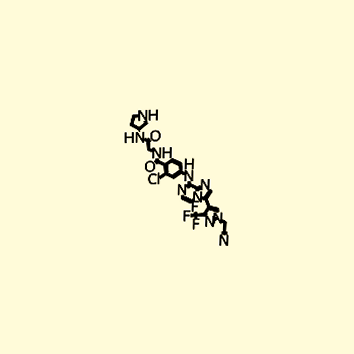 N#CCn1cc(-c2cnc3c(Nc4ccc(C(=O)NCC(=O)N[C@@H]5CCNC5)c(Cl)c4)nccn23)c(C(F)(F)F)n1